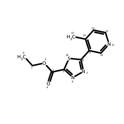 CCOC(=O)c1nnc(-c2cnccc2C)s1